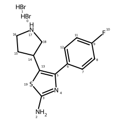 Br.Br.Nc1nc(-c2ccc(F)cc2)c(C2CCNC2)s1